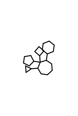 C1CCC([C]2CCCCC(C3CC3)C2(C2CCCC2)C2CCC2)CC1